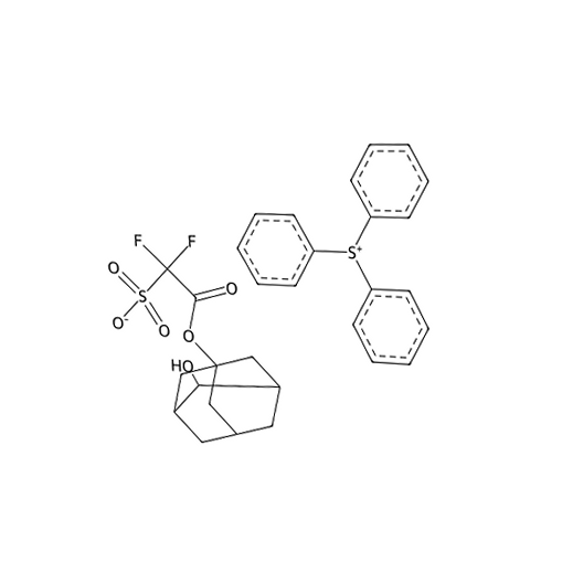 O=C(OC12CC3CC(C1)C(O)C(C3)C2)C(F)(F)S(=O)(=O)[O-].c1ccc([S+](c2ccccc2)c2ccccc2)cc1